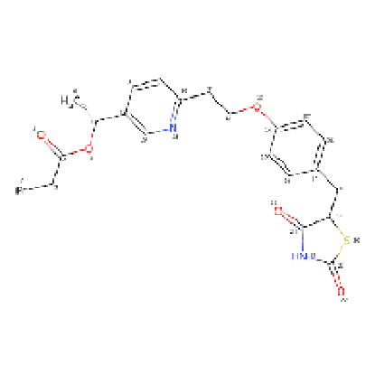 CC(C)CC(=O)O[C@H](C)c1ccc(CCOc2ccc(CC3SC(=O)NC3=O)cc2)nc1